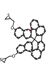 c1ccc2c3c(ccc2c1)-c1ccc2ccccc2c1C3(c1ccc2cc(OCC3CS3)ccc2c1)c1ccc2cc(OCC3CS3)ccc2c1